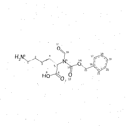 NCCCC[C@@H](C(=O)O)N(C=O)C(=O)OCc1ccccc1